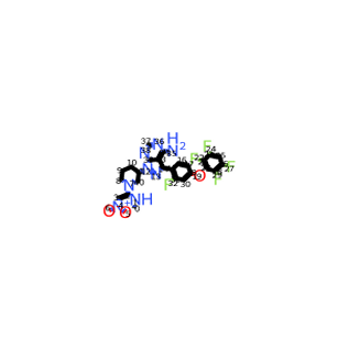 CN/C(=C\[N+](=O)[O-])N1CCCC(n2nc(-c3ccc(Oc4c(F)c(F)cc(F)c4F)cc3F)c3c(N)ncnc32)C1